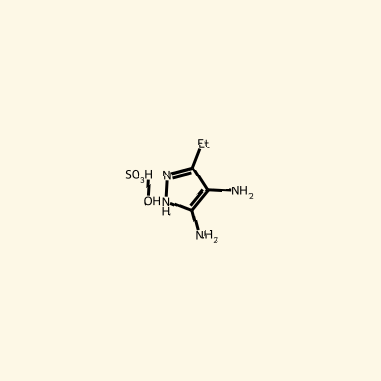 CCc1n[nH]c(N)c1N.O=S(=O)(O)O